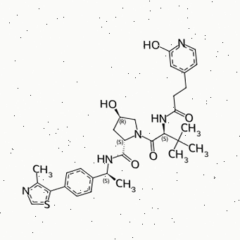 Cc1ncsc1-c1ccc([C@H](C)NC(=O)[C@@H]2C[C@@H](O)CN2C(=O)[C@@H](NC(=O)CCc2ccnc(O)c2)C(C)(C)C)cc1